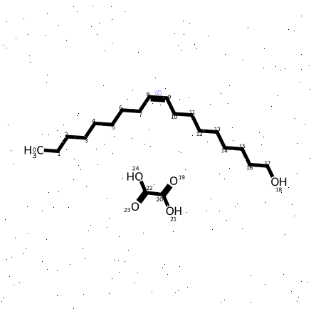 CCCCCCCC/C=C\CCCCCCCCO.O=C(O)C(=O)O